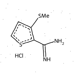 CSc1ccsc1C(=N)N.Cl